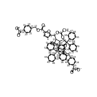 CC(=O)OC(c1ccc(C(=O)OCc2ccc([N+](=O)[O-])cc2)o1)C1C(=O)N(C(C(=O)OCc2ccc([N+](=O)[O-])cc2)=P(c2ccccc2)(c2ccccc2)c2ccccc2)C1SC(c1ccccc1)(c1ccccc1)c1ccccc1